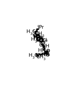 CC(C)CCC[C@@H](C)[C@H]1CC[C@H]2[C@@H]3CC=C4C[C@@H](OC(=O)NCCNc5c(NCCCN(C)C)c(=O)c5=O)CC[C@]4(C)[C@H]3CC[C@]12C.Cl